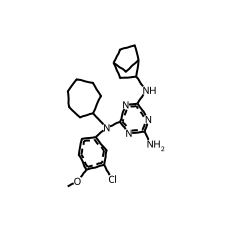 COc1ccc(N(c2nc(N)nc(NC3CC4CCC3C4)n2)C2CCCCCC2)cc1Cl